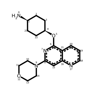 N[C@H]1CC[C@@H](Oc2nc(N3CCOCC3)cc3ncccc23)CC1